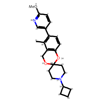 COc1ccc(-c2ccc3c(c2C)COC2(CCN(C4CCC4)CC2)O3)cn1